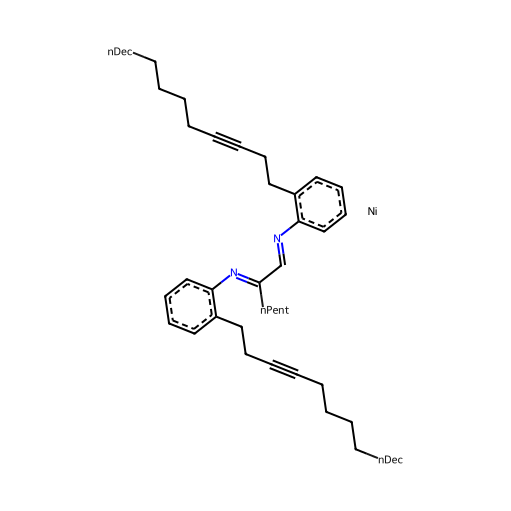 CCCCCCCCCCCCCCC#CCCc1ccccc1N=CC(CCCCC)=Nc1ccccc1CCC#CCCCCCCCCCCCCCC.[Ni]